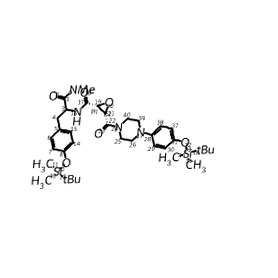 CNC(=O)C(Cc1ccc(O[Si](C)(C)C(C)(C)C)cc1)NC(=O)[C@@H]1O[C@@H]1C(=O)N1CCN(c2ccc(O[Si](C)(C)C(C)(C)C)cc2)CC1